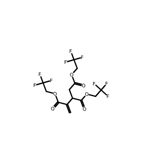 C=C(C(=O)OCC(F)(F)F)C(CC(=O)OCC(F)(F)F)C(=O)OCC(F)(F)F